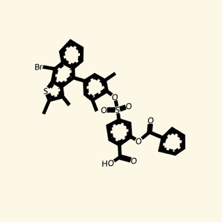 Cc1cc(-c2c3ccccc3c(Br)c3sc(C)c(C)c23)cc(C)c1OS(=O)(=O)c1ccc(C(=O)O)c(OC(=O)c2ccccc2)c1